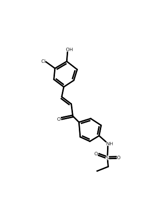 CCS(=O)(=O)Nc1ccc(C(=O)C=Cc2ccc(O)c(Cl)c2)cc1